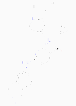 CC(C)(C)c1cc(-n2c3nc(Nc4ccc5c(c4)CCNC5)ccc3c(=O)n2C2CC2)ccn1